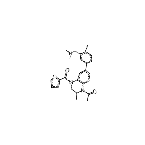 CC(=O)N1c2ccc(-c3ccc(C)c(CN(C)C)c3)cc2N(C(=O)c2ccco2)CC1C